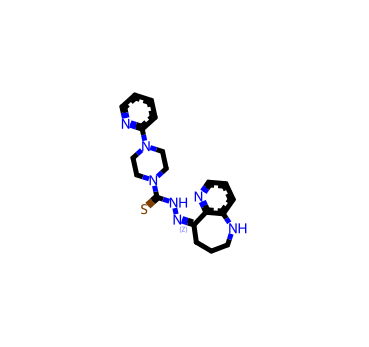 S=C(N/N=C1/CCCNc2cccnc21)N1CCN(c2ccccn2)CC1